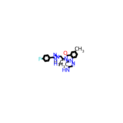 CCN(C(=O)c1cc(C)ccc1N/N=C\C=N)[C@@H](C)Cn1nc(-c2ccc(F)cc2)[nH]1